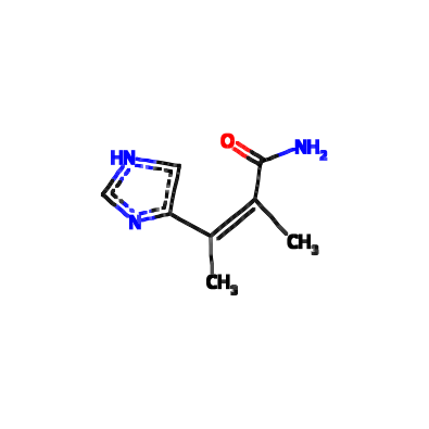 CC(C(N)=O)=C(C)c1c[nH]cn1